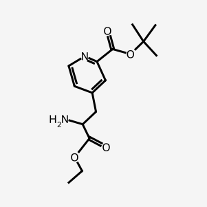 CCOC(=O)C(N)Cc1ccnc(C(=O)OC(C)(C)C)c1